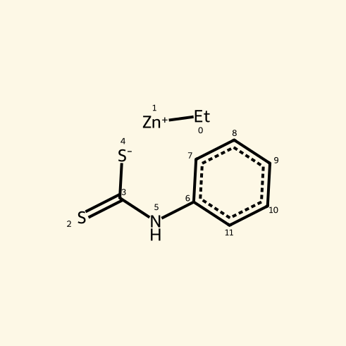 C[CH2][Zn+].S=C([S-])Nc1ccccc1